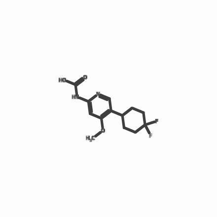 COc1cc(NC(=O)O)ncc1C1CCC(F)(F)CC1